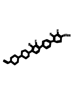 C=CC1CCC(C2CCC(c3ccc(-c4ccc(-c5ccc(CCCCCC)c(F)c5F)cc4)c(F)c3F)CC2)CC1